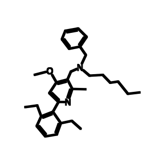 CCCCCCN(Cc1ccccc1)Cc1c(OC)cc(-c2c(CC)cccc2CC)nc1C